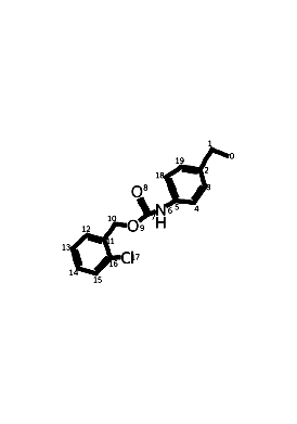 CCc1ccc(NC(=O)OCc2ccccc2Cl)cc1